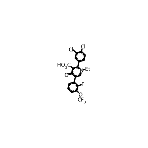 CCn1cc(-c2cccc(OC(F)(F)F)c2F)c(=O)c(C(=O)O)c1-c1ccc(Cl)c(Cl)c1